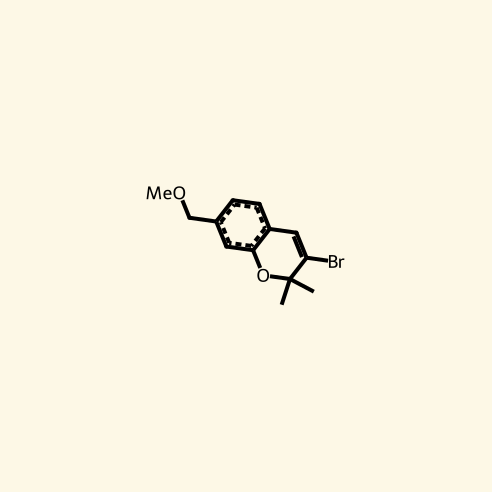 COCc1ccc2c(c1)OC(C)(C)C(Br)=C2